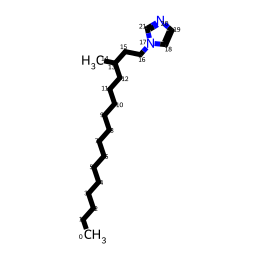 CCCCCCCCCCCCCC(C)CCn1ccnc1